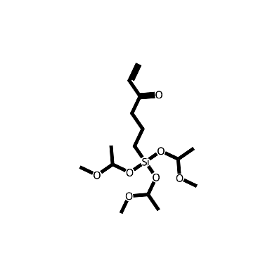 C=CC(=O)CCC[Si](OC(C)OC)(OC(C)OC)OC(C)OC